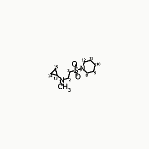 CN(CCS(=O)(=O)N1CC[CH]CC1)C1CC1